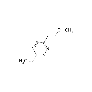 C=Cc1nnc(CCOC)nn1